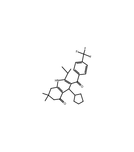 CC(C)C1=C(C(=O)c2ccc(C(F)(F)F)cc2)C(C2CCCC2)C2=C(CC(C)(C)CC2=O)N1